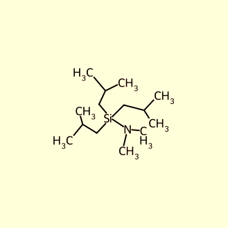 CC(C)C[Si](CC(C)C)(CC(C)C)N(C)C